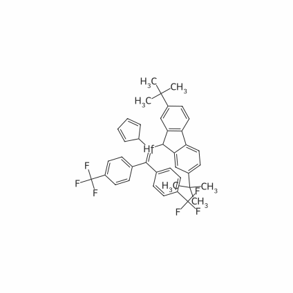 CC(C)(C)c1ccc2c(c1)[CH]([Hf](=[C](c1ccc(C(F)(F)F)cc1)c1ccc(C(F)(F)F)cc1)[CH]1C=CC=C1)c1cc(C(C)(C)C)ccc1-2